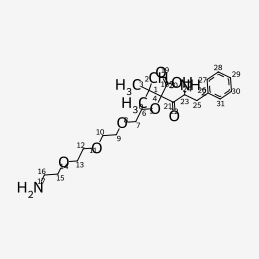 CC(C)(C)C(OCCOCCOCCOCCN)(C(=O)O)C(=O)[C@@H](N)Cc1ccccc1